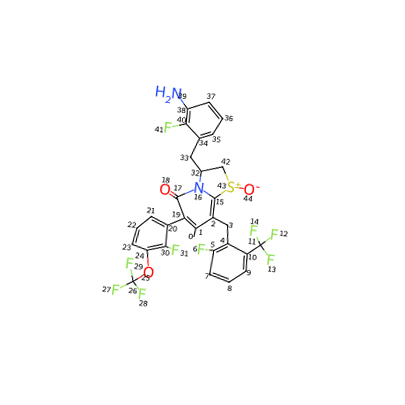 Cc1c(Cc2c(F)cccc2C(F)(F)F)c2n(c(=O)c1-c1cccc(OC(F)(F)F)c1F)C(Cc1cccc(N)c1F)C[S+]2[O-]